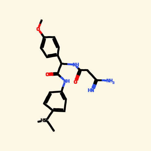 COc1ccc(C(NC(=O)CC(=N)N)C(=O)Nc2ccc([SiH](C)C)cc2)cc1